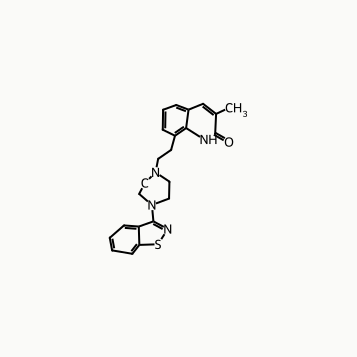 Cc1cc2cccc(CCN3CCN(c4nsc5ccccc45)CC3)c2[nH]c1=O